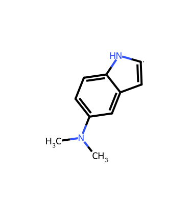 CN(C)c1ccc2[nH][c]cc2c1